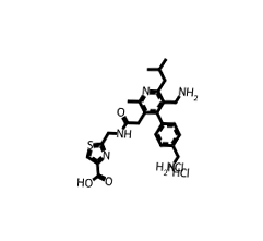 Cc1nc(CC(C)C)c(CN)c(-c2ccc(CN)cc2)c1CC(=O)NCc1nc(C(=O)O)cs1.Cl.Cl